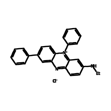 CCNc1ccc2nc3cc(-c4ccccc4)ccc3[n+](-c3ccccc3)c2c1.[Cl-]